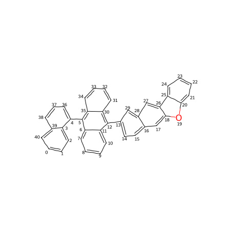 c1ccc2c(-c3c4ccccc4c(-c4ccc5cc6oc7ccccc7c6cc5c4)c4ccccc34)cccc2c1